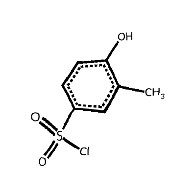 Cc1cc(S(=O)(=O)Cl)ccc1O